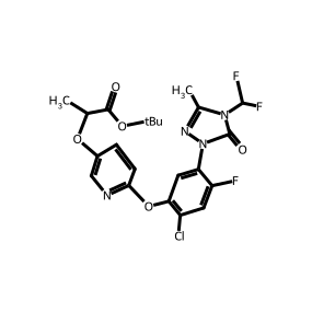 Cc1nn(-c2cc(Oc3ccc(OC(C)C(=O)OC(C)(C)C)cn3)c(Cl)cc2F)c(=O)n1C(F)F